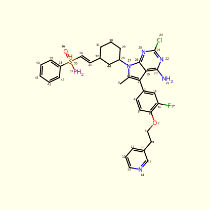 Cc1c(-c2ccc(OCCc3cccnc3)c(F)c2)c2c(N)nc(Cl)nc2n1C1CCCC(/C=C/[SH](=O)(P)c2ccccc2)C1